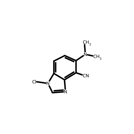 CN(C)c1ccc2c(n[c]n2Cl)c1C#N